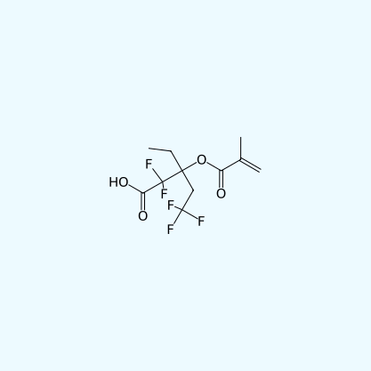 C=C(C)C(=O)OC(CC)(CC(F)(F)F)C(F)(F)C(=O)O